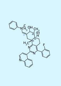 CC[C@@]1(C)C(O)/C(=C\N(C)c2ccccc2)C[C@@]2(C)c3nc(-c4ccnc5ccccc45)nc(-c4ccccc4F)c3CC[C@@H]21